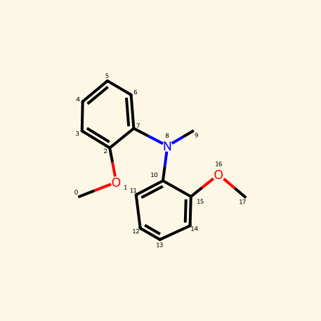 COc1ccccc1N(C)c1ccccc1OC